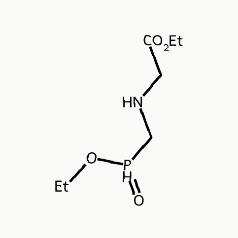 CCOC(=O)CNC[PH](=O)OCC